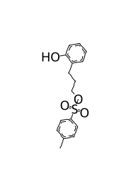 Cc1ccc(S(=O)(=O)OCCCc2ccccc2O)cc1